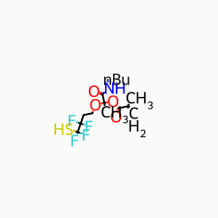 C=C(C)C(=O)OC(C)(OCCC(F)(F)C(F)(F)S)C(=O)NCCCC